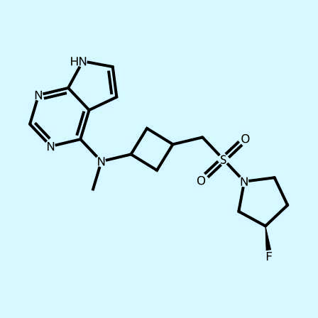 CN(c1ncnc2[nH]ccc12)C1CC(CS(=O)(=O)N2CC[C@@H](F)C2)C1